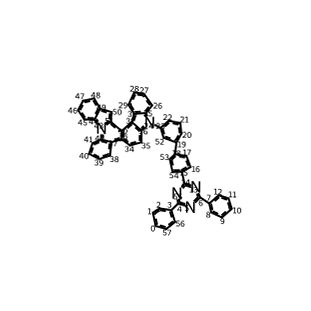 c1ccc(-c2nc(-c3ccccc3)nc(-c3ccc(-c4cccc(-n5c6ccccc6c6c7c(ccc65)c5ccccc5n5c6ccccc6cc75)c4)cc3)n2)cc1